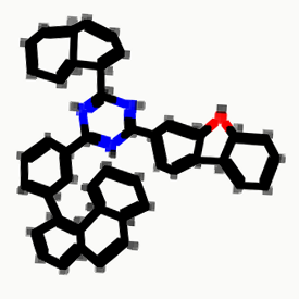 c1cc(-c2nc(-c3ccc4c(c3)oc3ccccc34)nc(-c3cccc4ccccc34)n2)cc(-c2cccc3ccc4ccccc4c23)c1